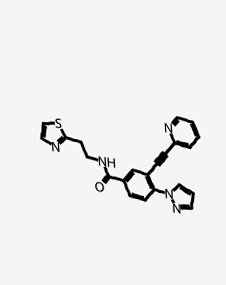 O=C(NCCc1nccs1)c1ccc(-n2cccn2)c(C#Cc2ccccn2)c1